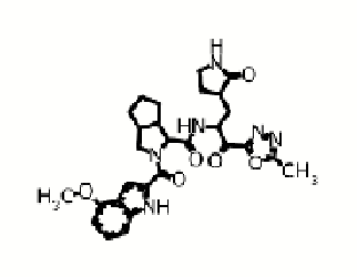 COc1cccc2[nH]c(C(=O)N3CC4CCCC4C3C(=O)NC(CC3CCNC3=O)C(=O)c3nnc(C)o3)cc12